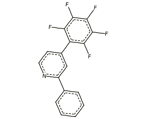 Fc1c(F)c(F)c(-c2ccnc(-c3ccccc3)c2)c(F)c1F